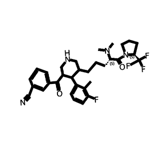 Cc1c(F)cccc1C1C(CCC[C@@H](C(=O)N2CCC[C@H]2C(F)(F)F)N(C)C)CNCC1C(=O)c1cccc(C#N)c1